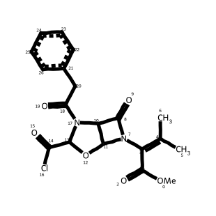 COC(=O)C(=C(C)C)N1C(=O)C2C1OC(C(=O)Cl)N2C(=O)Cc1ccccc1